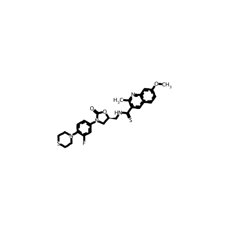 COc1ccc2cc(C(=S)NC[C@H]3CN(c4ccc(N5CCSCC5)c(F)c4)C(=O)O3)c(C)nc2c1